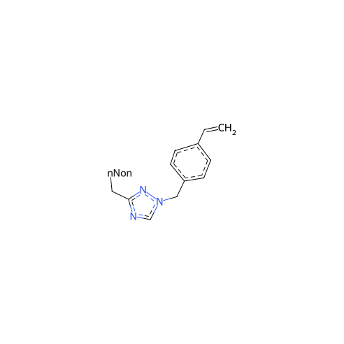 C=Cc1ccc(Cn2cnc(CCCCCCCCCC)n2)cc1